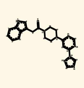 O=C(Cc1c[nH]c2ccccc12)N1CCN(c2cc(-n3cncn3)ncn2)CC1